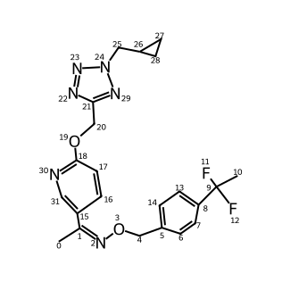 CC(=NOCc1ccc(C(C)(F)F)cc1)c1ccc(OCc2nnn(CC3CC3)n2)nc1